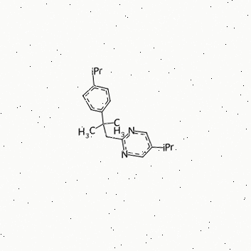 CC(C)c1ccc(C(C)(C)Cc2ncc(C(C)C)cn2)cc1